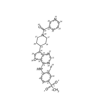 CS(=O)(=O)c1ccc(Nc2ncnc3c(C4CCN(C(=O)c5cccnc5)CC4)coc23)c(F)c1